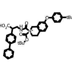 CC(C)(C)OC(=O)[N+]1(C(=O)NCC(C(=O)O)c2ccc(-c3ccccc3)cc2)CCc2ccc(Oc3ccc(C(C)(C)C)cc3)cc2C1